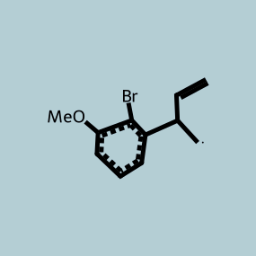 [CH2]C(C=C)c1cccc(OC)c1Br